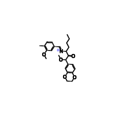 CCCCC(/N=C/c1ccc(C)c(OC)c1)C(=O)C(OC)c1ccc2c(c1)OCCO2